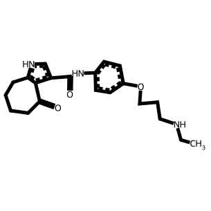 CCNCCCOc1ccc(NC(=O)c2c[nH]c3c2C(=O)CCCC3)cc1